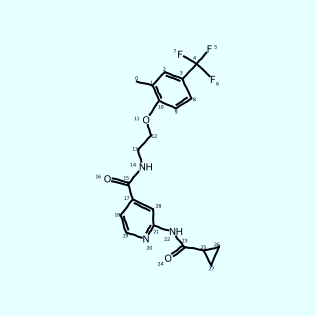 Cc1cc(C(F)(F)F)ccc1OCCNC(=O)c1ccnc(NC(=O)C2CC2)c1